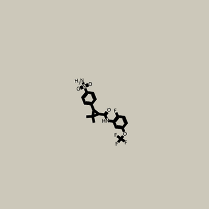 CC1(C)C(C(=O)Nc2cc(OC(F)(F)F)ccc2F)C1c1ccc(S(N)(=O)=O)cc1